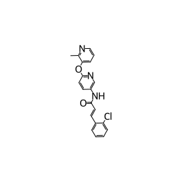 Cc1ncccc1Oc1ccc(NC(=O)C=Cc2ccccc2Cl)cn1